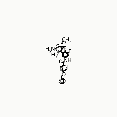 COC[C@]12CC1[C@@](C)(c1cc(NC(=O)c3cnc(OCc4nccs4)cn3)cc(F)c1F)N=C(N)S2